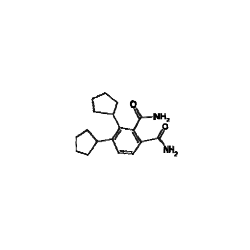 NC(=O)c1ccc(C2CCCC2)c(C2CCCC2)c1C(N)=O